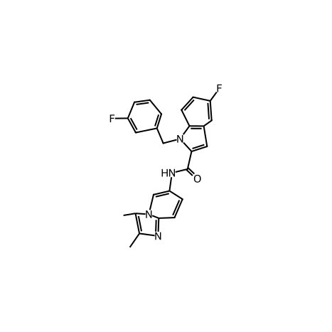 Cc1nc2ccc(NC(=O)c3cc4cc(F)ccc4n3Cc3cccc(F)c3)cn2c1C